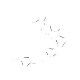 COc1ccc(CCCc2ccc(-c3ccc(O)c4c3C[C@]3(C)C[C@]5(C)C(C(C)C)C(O)=C(C(C)=O)C(=O)[C@]5(O)C(O)=C3C4=O)cc2)cc1